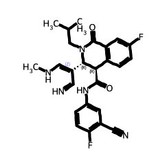 CN/C=C(\C=N)[C@H]1[C@H](C(=O)Nc2ccc(F)c(C#N)c2)c2ccc(F)cc2C(=O)N1CC(C)C